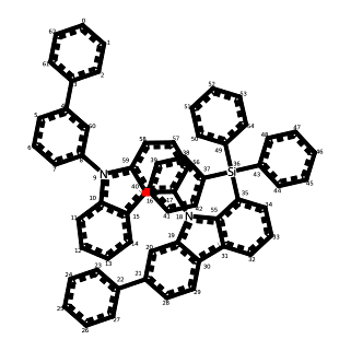 c1ccc(-c2cccc(-n3c4ccccc4c4c(-n5c6cc(-c7ccccc7)ccc6c6cccc([Si](c7ccccc7)(c7ccccc7)c7ccccc7)c65)cccc43)c2)cc1